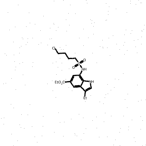 CCOC(=O)c1cc(NS(=O)(=O)CCCCCl)c2[nH]cc(CC)c2c1